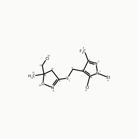 CCn1nc(C(F)(F)F)c(CSC2=NOC(C)(CCl)C2)c1Cl